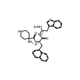 CC(=O)N[C@@H](Cc1csc2ccccc12)NC(=O)[C@@H](Cc1cccc2ccccc12)NC(=O)C1(N)CCNCC1